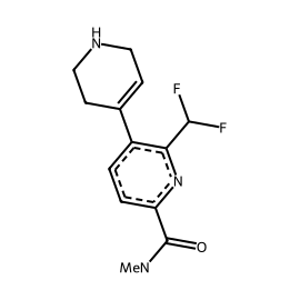 CNC(=O)c1ccc(C2=CCNCC2)c(C(F)F)n1